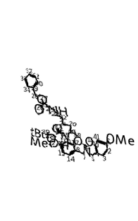 COc1ccc(CN(Cc2ccc(OC)cc2)C(=O)OC[C@H](CCCCNC(=O)OCc2ccccc2)NC(=O)OC(C)(C)C)cc1